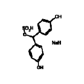 O=S(=O)(O)OC(c1ccc(O)cc1)c1ccc(O)cc1.[NaH]